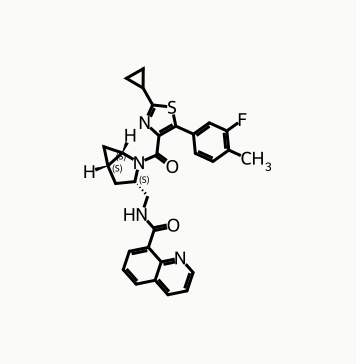 Cc1ccc(-c2sc(C3CC3)nc2C(=O)N2[C@H](CNC(=O)c3cccc4cccnc34)C[C@@H]3C[C@@H]32)cc1F